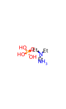 CCN(CC)CC.N.O=P(O)(O)O